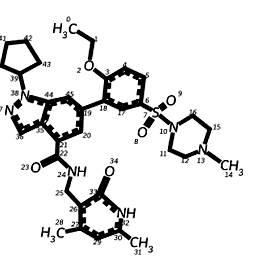 CCOc1ccc(S(=O)(=O)N2CCN(C)CC2)cc1-c1cc(C(=O)NCc2c(C)cc(C)[nH]c2=O)c2cnn(C3CCCC3)c2c1